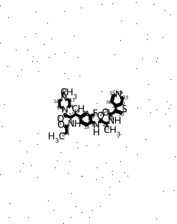 CCC(=O)N[C@@H](C(=O)N1CCN(C)CC1)[C@@H](C)c1ccc(NC(=O)[C@H](C)NC(=O)c2csc3cnccc23)c(F)c1